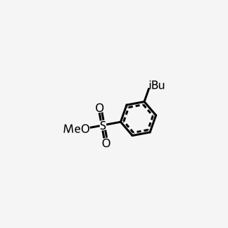 CCC(C)c1cccc(S(=O)(=O)OC)c1